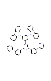 c1ccc(-c2cccc(-c3nc(-c4cccc(-c5cccnc5)c4)cc(-c4cc(-n5c6ccccc6c6ccccc65)cc(-n5c6ccccc6c6ccccc65)c4)n3)c2)cc1